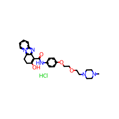 CN1CCN(CCOCCOc2ccc(NC(=O)C3=C(O)CCc4c3nc3ccccn43)cc2)CC1.Cl